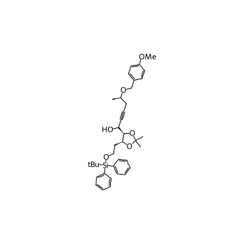 COc1ccc(CO[C@H](C)CC#CC(O)[C@H]2OC(C)(C)O[C@H]2CCO[Si](c2ccccc2)(c2ccccc2)C(C)(C)C)cc1